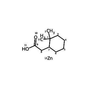 CC1(C)CCCCC1CC(=O)O.[Zn]